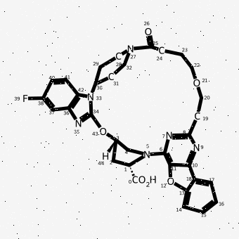 O=C(O)[C@@H]1C[C@H]2CN1c1nc(nc3c1oc1ccccc13)CCOCCCC(=O)N1CCC(CC1)n1c(nc3cc(F)ccc31)O2